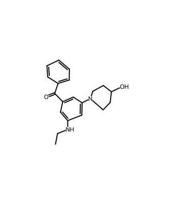 CCNc1cc(C(=O)c2ccccc2)cc(N2CCC(O)CC2)c1